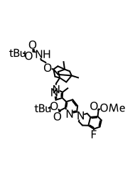 COC(=O)c1ccc(F)c2c1CN(c1ccc(-c3cnn(CC45CC6(C)CC(C)(C4)CC(OCCNC(=O)OC(C)(C)C)(C6)C5)c3C)c(C(=O)OC(C)(C)C)n1)CC2